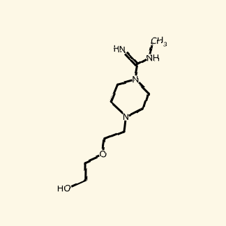 CNC(=N)N1CCN(CCOCCO)CC1